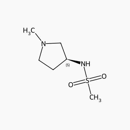 CN1CC[C@H](NS(C)(=O)=O)C1